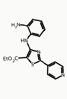 CCOC(=O)c1sc(-c2ccncc2)nc1Nc1ccccc1N